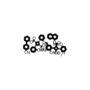 COc1ccc(COc2ccccc2[C@H]2[C@@H](C(=O)Oc3ccccc3-c3ccc(C#N)cc3)[C@H](c3ccccc3OC)[C@H]2C(O)O)cc1C1C(C(=O)O)[C@H](c2ccccc2OC)C1C(=O)Oc1cccc2ccccc12